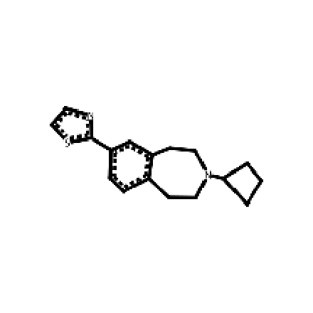 c1csc(-c2ccc3c(c2)CCN(C2CCC2)CC3)n1